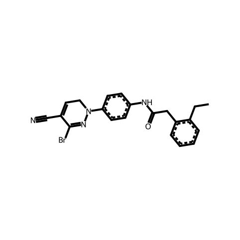 CCc1ccccc1CC(=O)Nc1ccc(N2CC=C(C#N)C(Br)=N2)cc1